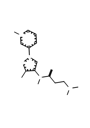 CCN(C(=S)CC[S+](C)[O-])c1cn(-c2ccc[n+]([O-])c2)nc1Cl